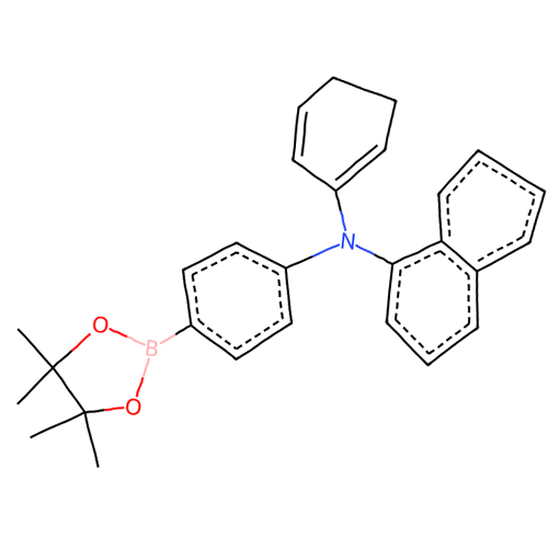 CC1(C)OB(c2ccc(N(C3=CCCC=C3)c3cccc4ccccc34)cc2)OC1(C)C